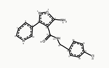 Nc1onc(-c2cccnc2)c1C(=O)NCc1ccc(Cl)cc1